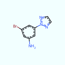 Nc1cc(Br)cc(-n2nccn2)c1